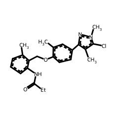 CCC(=O)Nc1cccc(C)c1COc1ccc(-c2nn(C)c(Cl)c2C)cc1C